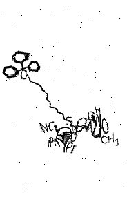 Cc1cn([C@H]2C[C@H](OP(OCCC#N)N(C(C)C)C(C)C)[C@@H](CSCCCCCCCCCCCCOC(c3ccccc3)(c3ccccc3)c3ccccc3)O2)c(=O)[nH]c1=O